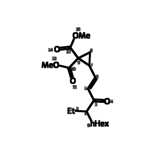 CCCCCCC(CC)C(=O)/C=C/C1CC1(C(=O)OC)C(=O)OC